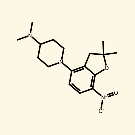 CN(C)C1CCN(c2ccc([N+](=O)[O-])c3c2CC(C)(C)O3)CC1